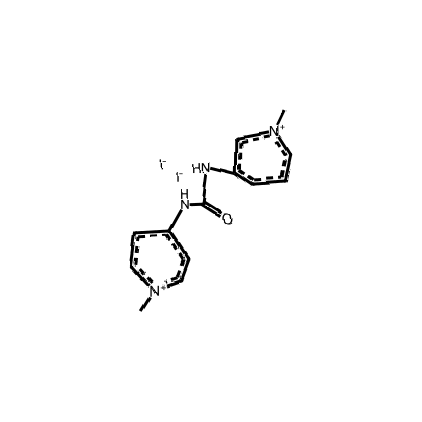 C[n+]1ccc(NC(=O)Nc2ccc[n+](C)c2)cc1.[I-].[I-]